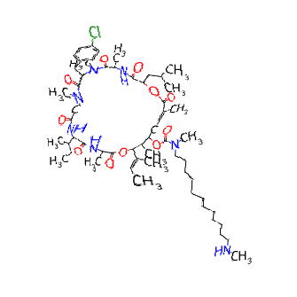 C/C=C(\C)C1OC(=O)C(C)NC(=O)C([C@H](C)CC)NC(=O)CN(C)C(=O)C(Cc2ccc(Cl)cc2)N(C)C(=O)C(C)NC(=O)C(CC(C)C)OC(=O)C(C)=CCC(OC(=O)N(C)CCCCCCCCCCCCNC)C1C